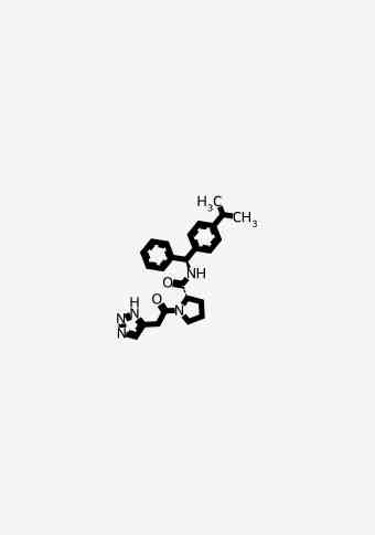 CC(C)c1ccc([C@@H](NC(=O)[C@@H]2CCCN2C(=O)Cc2cnn[nH]2)c2ccccc2)cc1